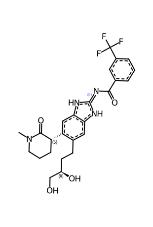 CN1CCC[C@@H](c2cc3[nH]/c(=N/C(=O)c4cccc(C(F)(F)F)c4)[nH]c3cc2CC[C@@H](O)CO)C1=O